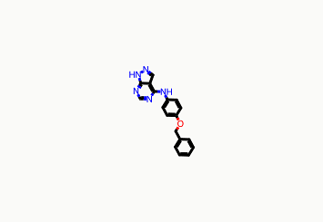 c1ccc(COc2ccc(Nc3ncnc4[nH]ncc34)cc2)cc1